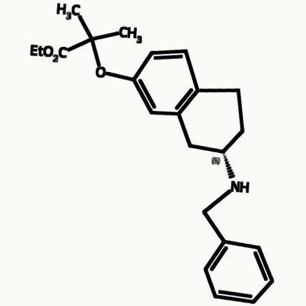 CCOC(=O)C(C)(C)Oc1ccc2c(c1)C[C@@H](NCc1ccccc1)CC2